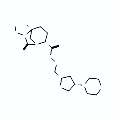 O=C(NOC[C@H]1C[C@@H](N2CCOCC2)CN1)[C@@H]1CC[C@@H]2CN1C(=O)N2OS(=O)(=O)O